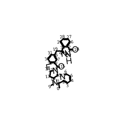 CC(c1ccccn1)N(C)C1CCN(C(=O)c2cc(Cc3n[nH]c(=O)c4ccccc34)ccc2F)C1